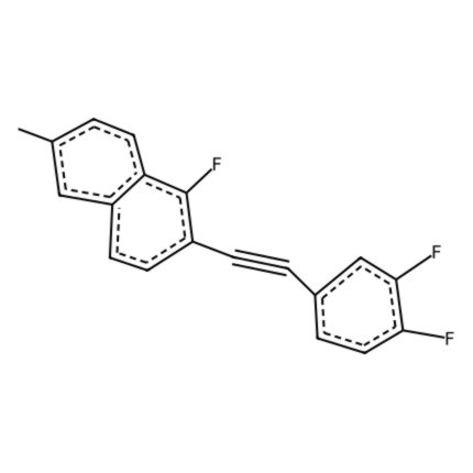 Cc1ccc2c(F)c(C#Cc3ccc(F)c(F)c3)ccc2c1